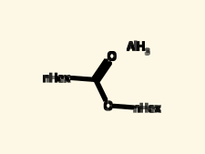 CCCCCCOC(=O)CCCCCC.[AlH3]